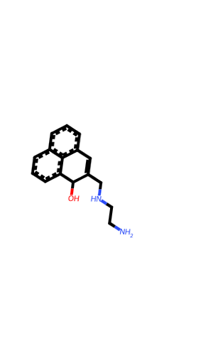 NCCNCC1=Cc2cccc3cccc(c23)C1O